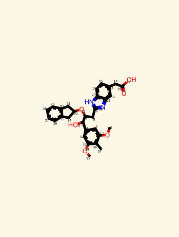 COc1cc(C(O)C(Cc2nc3cc(CC(=O)O)ccc3[nH]2)OC2Cc3ccccc3C2)cc(OC)c1C